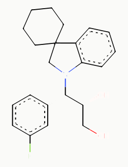 OC[C@@H](O)[C@H](c1cccc(F)c1)N1CC2(CCCCC2)c2ccccc21